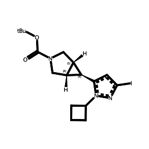 CC(C)(C)OC(=O)N1C[C@@H]2[C@H](C1)[C@H]2c1cc(I)nn1C1CCC1